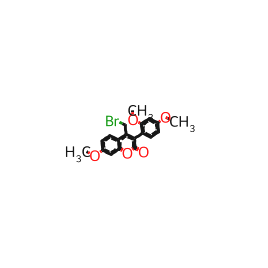 COc1ccc(-c2c(CBr)c3ccc(OC)cc3oc2=O)c(OC)c1